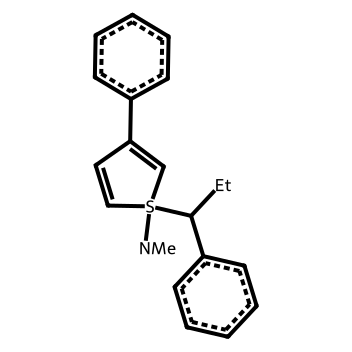 CCC(c1ccccc1)S1(NC)C=CC(c2ccccc2)=C1